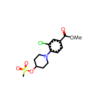 COC(=O)c1ccc(N2CCC(OS(C)(=O)=O)CC2)c(Cl)c1